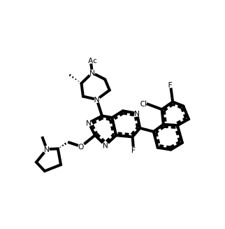 CC(=O)N1CCN(c2nc(OC[C@@H]3CCCN3C)nc3c(F)c(-c4cccc5ccc(F)c(Cl)c45)ncc23)C[C@@H]1C